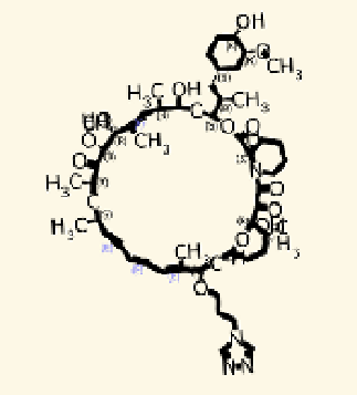 CO[C@@H]1C[C@H](C[C@@H](C)[C@@H]2CC(O)[C@H](C)/C=C(\C)[C@@H](O)[C@@H](OC)C(=O)[C@H](C)C[C@H](C)/C=C/C=C/C=C(\C)[C@H](OCCCn3cnnc3)C[C@@H]3CC[C@@H](C)[C@@](O)(O3)C(=O)C(=O)N3CCCC[C@H]3C(=O)O2)CC[C@H]1O